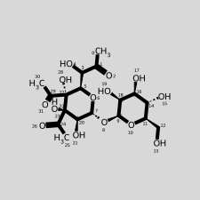 CC(=O)C(O)[C@H]1O[C@H](O[C@@H]2O[C@H](CO)[C@@H](O)[C@H](O)[C@@H]2O)[C@@H](O)[C@](O)(C(C)=O)[C@@]1(O)C(C)=O